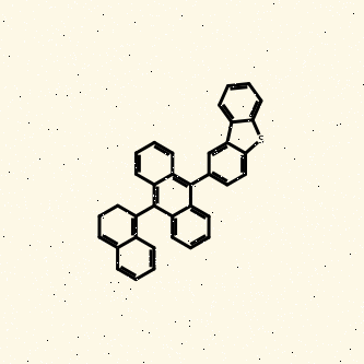 C1=c2ccccc2=C(c2c3ccccc3c(-c3ccc4sc5ccccc5c4c3)c3ccccc23)CC1